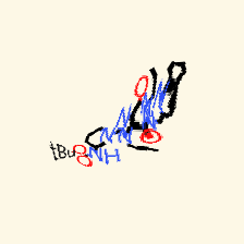 C#CCn1c(=O)c2nc(N3CCCC(NC(=O)OC(C)(C)C)C3)n(CC#CC)c2c(=O)n1Cc1ccc2ccccc2n1